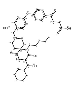 CCCCCN1C(=O)[C@@H]([C@H](O)C2CCCCC2)NC(=O)C12CCN(Cc1ccc(Oc3ccc(C(=O)NCC(=O)O)cc3)cc1)CC2.Cl